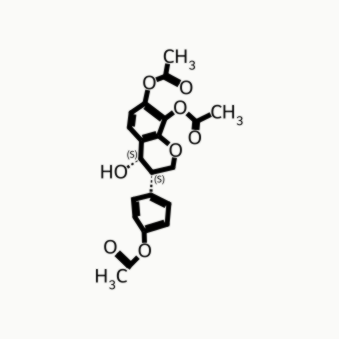 CC(=O)Oc1ccc([C@H]2COc3c(ccc(OC(C)=O)c3OC(C)=O)[C@H]2O)cc1